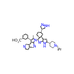 Cc1c(-c2cccc(C(=O)O)c2)c2c3cnccc3cnc2n1-c1nc2[nH]c(C3CCN(CC(C)C)CC3)cc2c2cc(-c3cn[nH]c3)ccc12